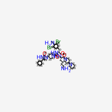 NCCCC[C@H](NC(=O)[C@@H](Cc1cc(Br)c(N)c(Br)c1)NC(=O)N1CCC(n2cc(-c3ccccc3)[nH]c2=O)CC1)C(=O)N1CCC(N2CCCCC2)CC1